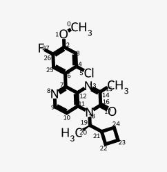 COc1cc(Cl)c(-c2nccc3c2nc(C)c(=O)n3[C@H](C)C2CCC2)cc1F